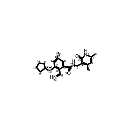 Cc1cc(C)c(CNC(=O)c2cc(Br)cc(NC3CCCC3)c2C=N)c(=O)[nH]1